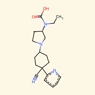 CCN(C(=O)O)[C@@H]1CCN(C2CCC(C#N)(c3ccccn3)CC2)C1